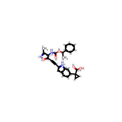 Cc1noc(C#Cc2cc3ccc(C4(C(=O)O)CC4)cc3[nH]2)c1NC(=O)OC(C)c1ccccc1